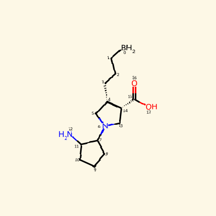 BCCC[C@H]1CN(C2CCCC2N)C[C@H]1C(=O)O